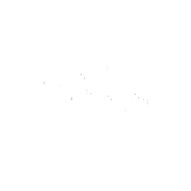 Cc1nnc([C@](C)(CO)NC(=O)c2c(C)nc3c(OCc4c(F)cccc4F)cccn23)s1